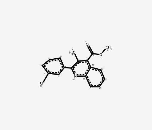 COC(=O)c1c(C)c(-c2cccc(Cl)c2)nc2ccccc12